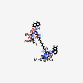 CN[C@@H](C)C(=O)N[C@H](C(=O)N1C[C@@H](NC(=O)CCCCCCCCC(=O)N[C@H]2C[C@@H](C(=O)N[C@@H]3CCCc4ccccc43)N(C(=O)[C@@H](NC(=O)[C@H](C)NC)C(C)(C)C)C2)C[C@H]1C(=O)N[C@@H]1CCCc2ccccc21)C(C)(C)C